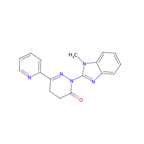 Cn1c(N2N=C(c3ccccn3)CCC2=O)nc2ccccc21